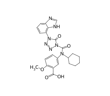 COc1ccc(N(C(=O)n2nnn(-c3cccc4nc[nH]c34)c2=O)C2CCCCC2)cc1C(=O)O